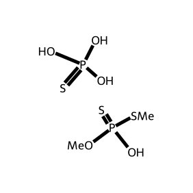 COP(O)(=S)SC.OP(O)(O)=S